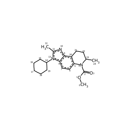 COC(=O)N1c2ccc3c(nc(C)n3C3CCCCC3)c2CCC1C